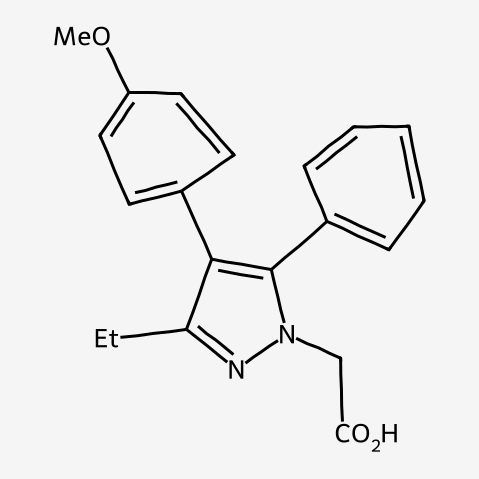 CCc1nn(CC(=O)O)c(-c2ccccc2)c1-c1ccc(OC)cc1